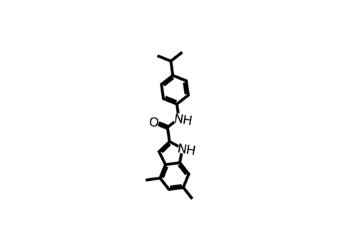 Cc1cc(C)c2cc(C(=O)Nc3ccc(C(C)C)cc3)[nH]c2c1